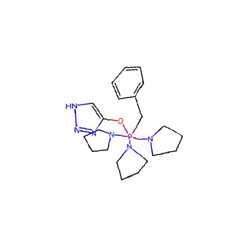 c1ccc(CP(Oc2c[nH]nn2)(N2CCCC2)(N2CCCC2)N2CCCC2)cc1